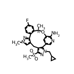 C[C@H]1Oc2cc(cnc2N)-c2c(c(S(C)(=O)=O)nn2CC2CC2)Cc2cn(C)nc2-c2ccc(F)cc21